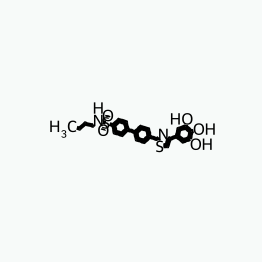 CCCCNS(=O)(=O)c1ccc(-c2ccc(-c3nc(-c4cc(O)c(O)c(O)c4)cs3)cc2)cc1